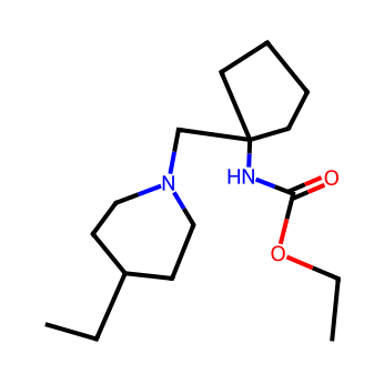 CCOC(=O)NC1(CN2CCC(CC)CC2)CCCC1